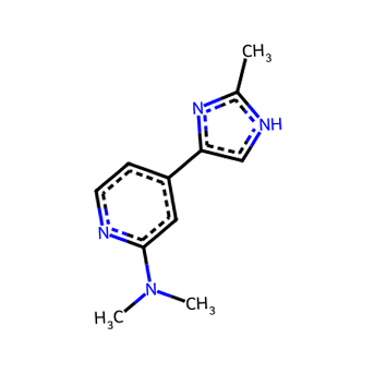 Cc1nc(-c2ccnc(N(C)C)c2)c[nH]1